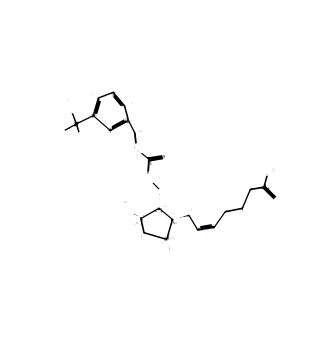 O=C(O)CCC/C=C\C[C@@H]1[C@@H](COC(=O)NCc2cccc(C(F)(F)F)c2)[C@H](O)C[C@H]1O